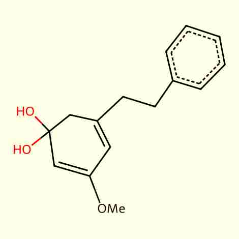 COC1=CC(O)(O)CC(CCc2ccccc2)=C1